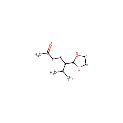 CC(=O)CCC(C(C)C)C1OCCO1